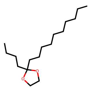 CCCCCCCCCCC1(CCCC)OCCO1